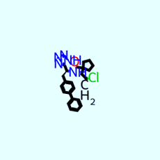 C=C(Cl)CC1(C(=O)N[C@@H](Cc2ccc(-c3ccccc3)cc2)c2nnn[nH]2)CCCC1